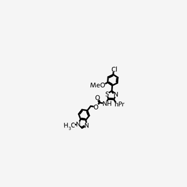 CCCc1nc(-c2ccc(Cl)cc2OC)sc1NC(=O)OCc1ccc2c(c1)ncn2C